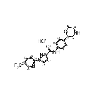 Cl.O=C(Nc1ccc([C@@H]2CNCCO2)cc1)c1ccn(-c2ccc(C(F)(F)F)cn2)n1